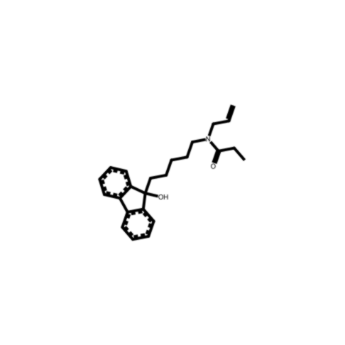 C=CCN(CCCCCC1(O)c2ccccc2-c2ccccc21)C(=O)CC